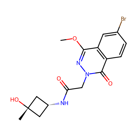 COc1nn(CC(=O)N[C@H]2C[C@@](C)(O)C2)c(=O)c2ccc(Br)cc12